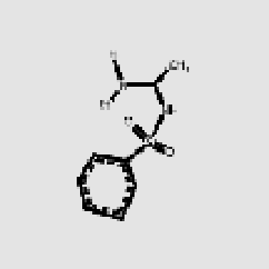 CCN(CC)C(C)NS(=O)(=O)c1cc[c]cc1